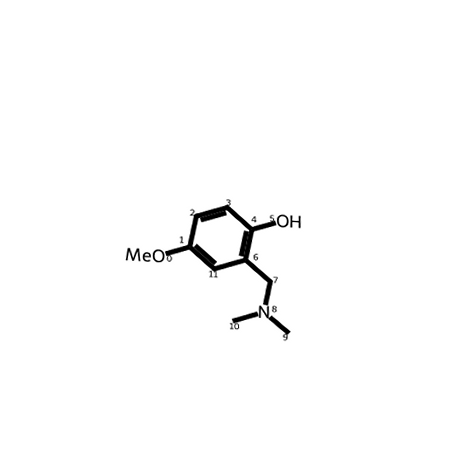 COc1ccc(O)c(CN(C)C)c1